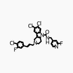 O=C(NCc1ccnc(F)c1)n1c2c(c3cc(Cl)c(Cl)cc31)CN(C/C=C/c1ccc(Cl)c(F)c1)CC2